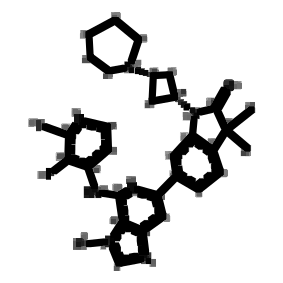 CC(C)n1cnc2cc(-c3ccc4c(c3)N([C@H]3C[C@@H](N5CCCCC5)C3)C(=O)C4(C)C)nc(Nc3ccnc(F)c3F)c21